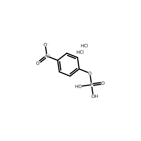 Cl.Cl.O=[N+]([O-])c1ccc(OP(=O)(O)O)cc1